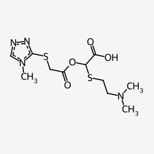 CN(C)CCSC(OC(=O)CSc1nncn1C)C(=O)O